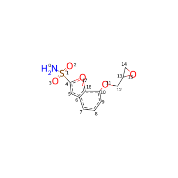 NS(=O)(=O)c1cc2cccc(OCC3CO3)c2o1